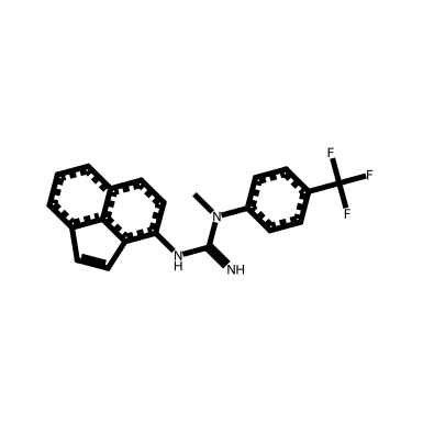 CN(C(=N)Nc1ccc2cccc3c2c1C=C3)c1ccc(C(F)(F)F)cc1